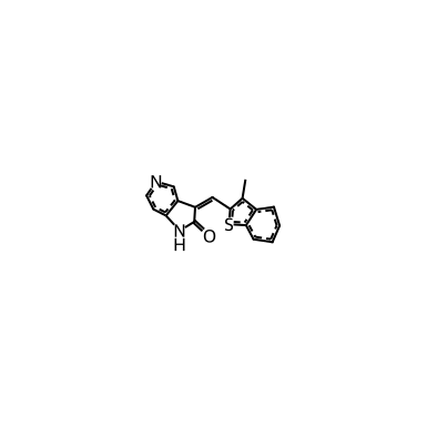 Cc1c(C=C2C(=O)Nc3ccncc32)sc2ccccc12